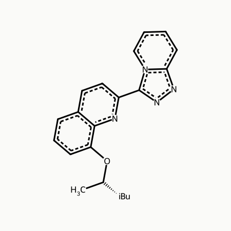 CC[C@@H](C)C(C)Oc1cccc2ccc(-c3nnc4ccccn34)nc12